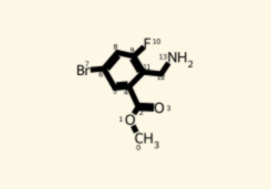 COC(=O)c1cc(Br)cc(F)c1CN